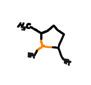 CC(C)C1CCC(C)P1C(C)C